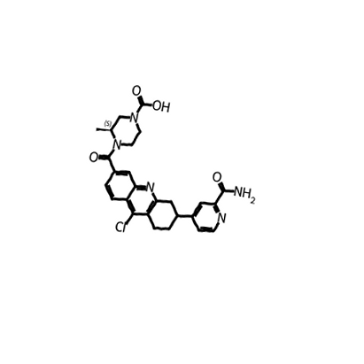 C[C@H]1CN(C(=O)O)CCN1C(=O)c1ccc2c(Cl)c3c(nc2c1)CC(c1ccnc(C(N)=O)c1)CC3